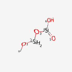 CO[SiH2]O[Si](=O)O